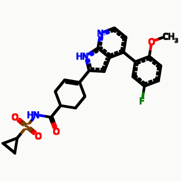 COc1ccc(F)cc1-c1ccnc2[nH]c(C3=CCC(C(=O)NS(=O)(=O)C4CC4)CC3)cc12